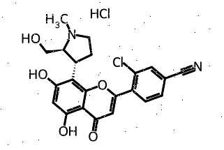 CN1CC[C@H](c2c(O)cc(O)c3c(=O)cc(-c4ccc(C#N)cc4Cl)oc23)[C@H]1CO.Cl